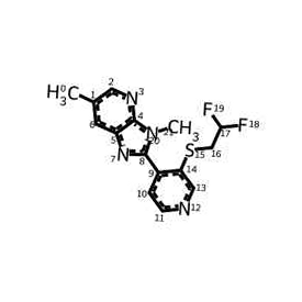 Cc1cnc2c(c1)nc(-c1ccncc1SCC(F)F)n2C